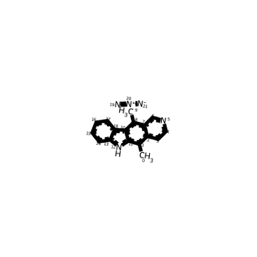 Cc1c2ccncc2c(C)c2c1[nH]c1ccccc12.[N-]=[N+]=[N-]